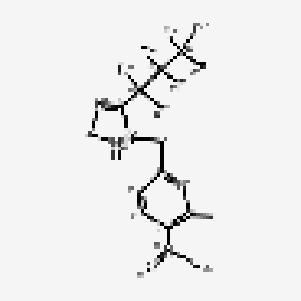 Cc1nc(CN2NCN=C2C(F)(F)C(F)(F)C(F)(F)F)ccc1[N+](=O)[O-]